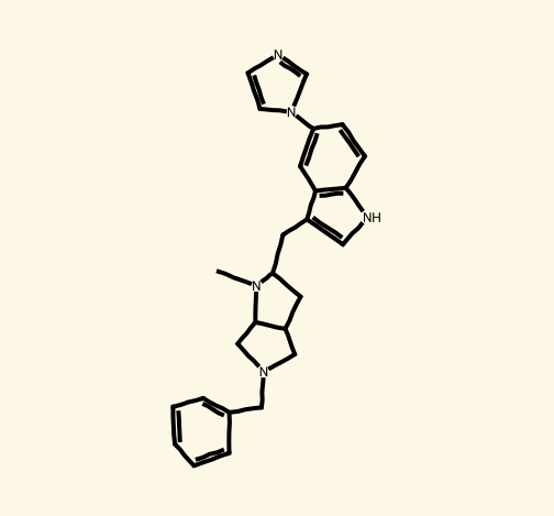 CN1C(Cc2c[nH]c3ccc(-n4ccnc4)cc23)CC2CN(Cc3ccccc3)CC21